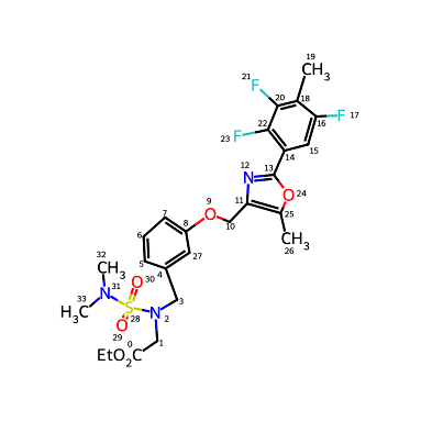 CCOC(=O)CN(Cc1cccc(OCc2nc(-c3cc(F)c(C)c(F)c3F)oc2C)c1)S(=O)(=O)N(C)C